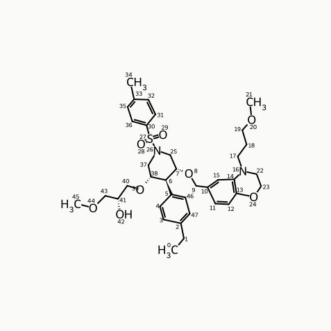 CCc1ccc([C@@H]2[C@@H](OCc3ccc4c(c3)N(CCCOC)CCO4)CN(S(=O)(=O)c3ccc(C)cc3)C[C@H]2OC[C@H](O)COC)cc1